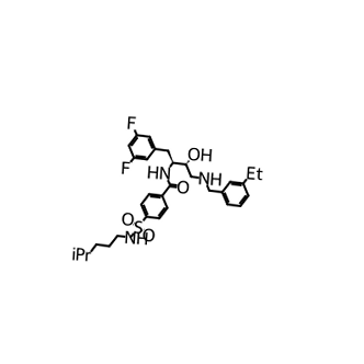 CCc1cccc(CNC[C@@H](O)[C@H](Cc2cc(F)cc(F)c2)NC(=O)c2ccc(S(=O)(=O)NCCCC(C)C)cc2)c1